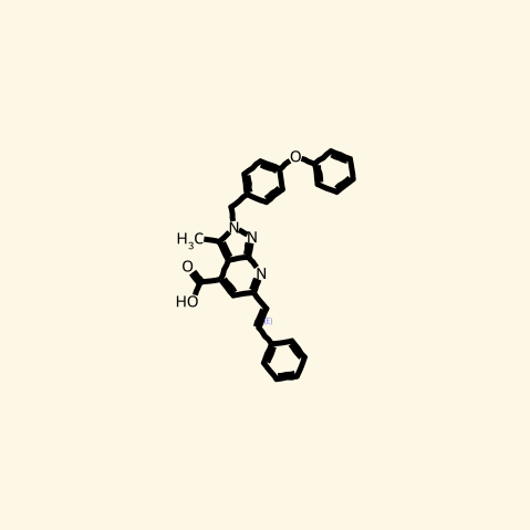 Cc1c2c(C(=O)O)cc(/C=C/c3ccccc3)nc2nn1Cc1ccc(Oc2ccccc2)cc1